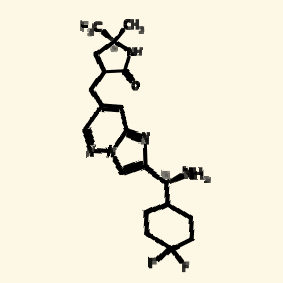 C[C@@]1(C(F)(F)F)CC(Cc2cnn3cc([C@@H](N)C4CCC(F)(F)CC4)nc3c2)C(=O)N1